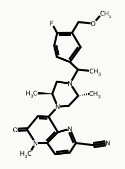 COCc1cc(C(C)N2C[C@H](C)N(c3cc(=O)n(C)c4ccc(C#N)nc34)C[C@H]2C)ccc1F